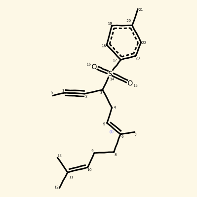 CC#CC(C/C=C(\C)CCC=C(C)C)S(=O)(=O)c1ccc(C)cc1